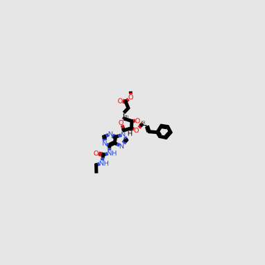 CCNC(=O)Nc1ncnc2c1ncn2[C@@H]1O[C@H](CCC(=O)OC)C2O[C@H](C=Cc3ccccc3)O[C@@H]21